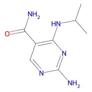 CC(C)Nc1nc(N)ncc1C(N)=O